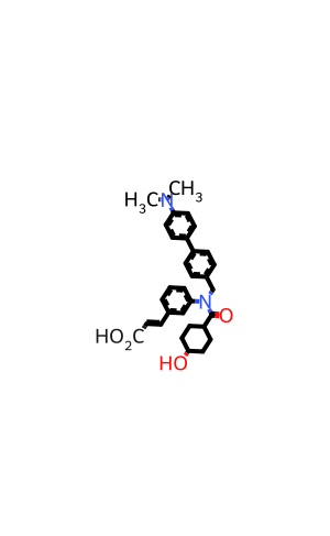 CN(C)c1ccc(-c2ccc(CN(C(=O)C3CCC(O)CC3)c3cccc(C=CC(=O)O)c3)cc2)cc1